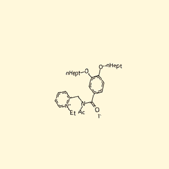 CCCCCCCOc1ccc(C(=O)N(Cc2cccc[n+]2CC)C(C)=O)cc1OCCCCCCC.[I-]